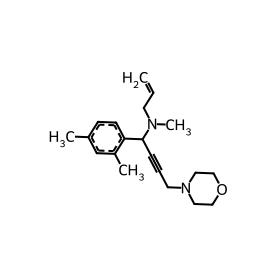 C=CCN(C)C(C#CCN1CCOCC1)c1ccc(C)cc1C